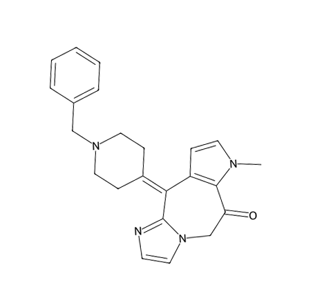 Cn1ccc2c1C(=O)Cn1ccnc1C2=C1CCN(Cc2ccccc2)CC1